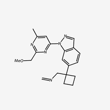 C=NCC1(c2ccc3cnn(-c4cc(C)nc(COC)n4)c3c2)CCC1